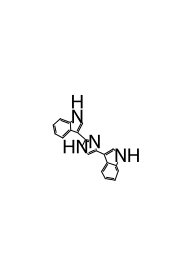 c1ccc2c(-c3c[nH]c(-c4c[nH]c5ccccc45)n3)c[nH]c2c1